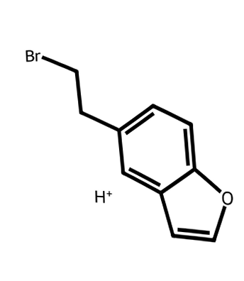 BrCCc1ccc2occc2c1.[H+]